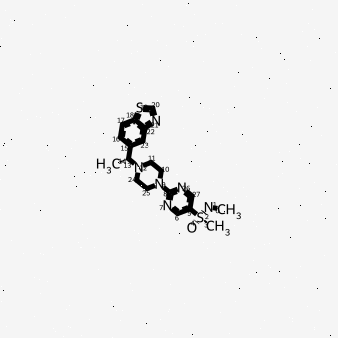 CN=[S@@](C)(=O)c1cnc(N2CCN([C@H](C)c3ccc4scnc4c3)CC2)nc1